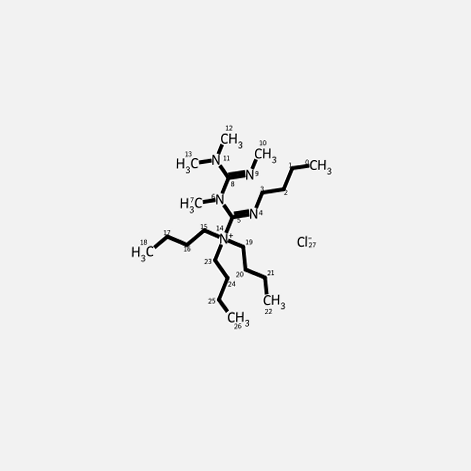 CCCC/N=C(\N(C)/C(=N/C)N(C)C)[N+](CCCC)(CCCC)CCCC.[Cl-]